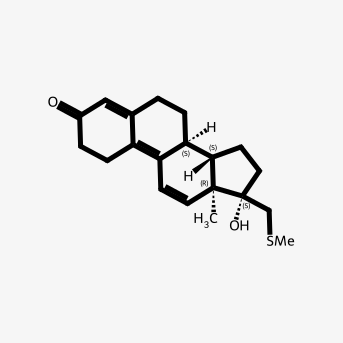 CSC[C@]1(O)CC[C@H]2[C@@H]3CCC4=CC(=O)CCC4=C3C=C[C@@]21C